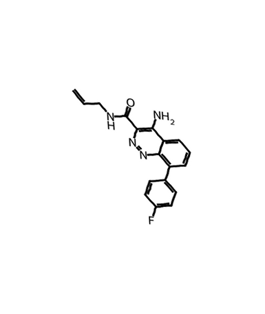 C=CCNC(=O)c1nnc2c(-c3ccc(F)cc3)cccc2c1N